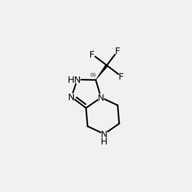 FC(F)(F)[C@@H]1NN=C2CNCCN21